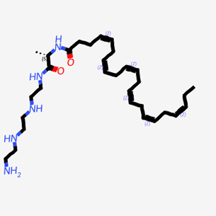 CC/C=C\C/C=C\C/C=C\C/C=C\C/C=C\C/C=C\CCC(=O)N[C@@H](C)C(=O)NCCNCCNCCN